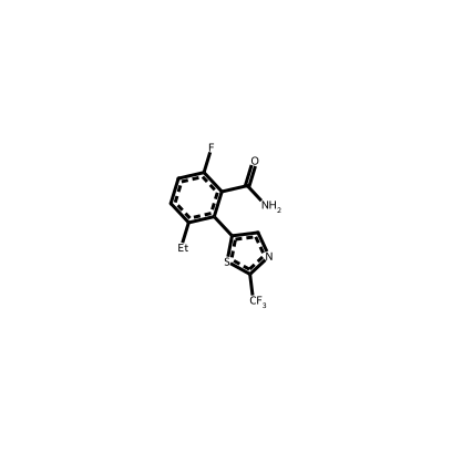 CCc1ccc(F)c(C(N)=O)c1-c1cnc(C(F)(F)F)s1